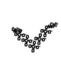 [Ce+3].[Ce+3].[Mn+2].[Mn+2].[O]=[Cr](=[O])([O-])[O-].[O]=[Cr](=[O])([O-])[O-].[O]=[Cr](=[O])([O-])[O-].[O]=[Cr](=[O])([O-])[O-].[O]=[Cr](=[O])([O-])[O-]